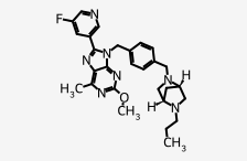 CCCN1C[C@@H]2C[C@H]1CN2Cc1ccc(Cn2c(-c3cncc(F)c3)nc3c(C)nc(OC)nc32)cc1